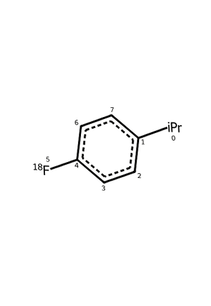 CC(C)c1ccc([18F])cc1